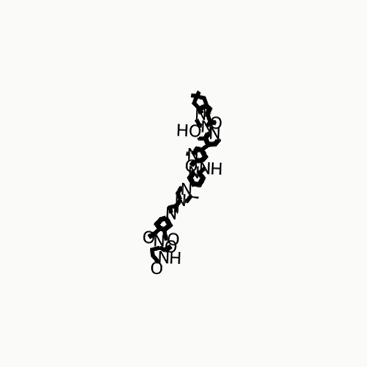 C[C@H]1CN(C2CN(c3ccc4c(c3)C(=O)N(C3CCC(=O)NC3=O)C4=O)C2)CCN1c1ccc(Nc2cc(-c3ccnc(N4CCn5c(cc6c5CC(C)(C)C6)C4=O)c3CO)cn(C)c2=O)nc1